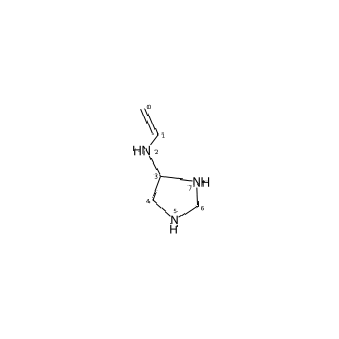 C=CNC1CNCN1